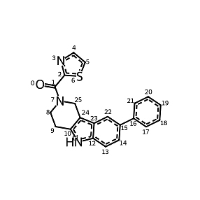 O=C(c1nccs1)N1CCc2[nH]c3ccc(-c4ccccc4)cc3c2C1